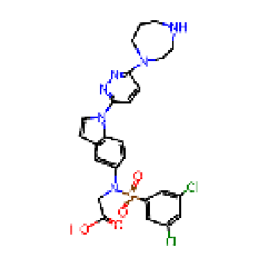 O=C(O)CN(c1ccc2c(ccn2-c2ccc(N3CCCNCC3)nn2)c1)S(=O)(=O)c1cc(Cl)cc(Cl)c1